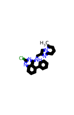 Cc1cccc2nc(CNc3nc(Cl)nc4cccc(-c5ccccc5)c34)cn12